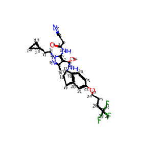 N#CCC(=O)Nc1c2c(nn1CCC1CC1)C[C@]1(CCc3cc(OCCCC(F)(F)F)ccc31)NC2=O